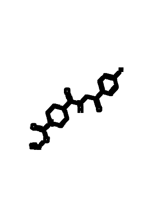 CC(C)(C)OC(=O)N1CCC(C(=O)NCC(=O)c2ccc(F)cc2)CC1